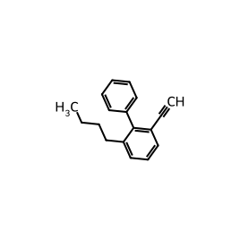 C#Cc1cccc(CCCC)c1-c1ccccc1